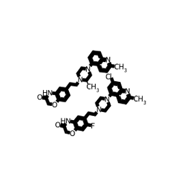 Cc1ccc2c(N3CCN(CCc4cc5c(cc4F)OCC(=O)N5)CC3)cc(Cl)cc2n1.Cc1ccc2c(N3CCN(CCc4ccc5c(c4)NC(=O)CO5)[C@@H](C)C3)cccc2n1